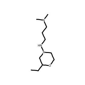 CCC1CN(NCCCN(C)C)CCO1